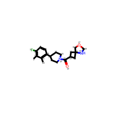 Cc1c(F)ccc(C2CCN(C(=O)C3CC4(COCN4)C3)CC2)c1C